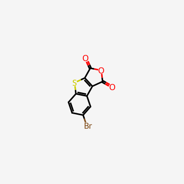 O=C1OC(=O)c2c1sc1ccc(Br)cc21